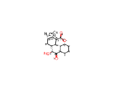 O=C([CH]O)C1CCCCC1.[CH2]C.[O]C(=O)C1CCCCC1